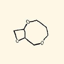 C1COCC2OCC2OC1